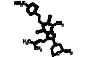 CC(C)=CCn1c(N2CCC[C@H](N)C2)nc2c1c(=O)n(CCc1ccc(C(=O)O)cc1)c(=O)n2C